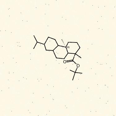 CC(C)C1CCC2C(CCC3C(C)(C(=O)OC(C)(C)C)CCC[C@]23C)C1